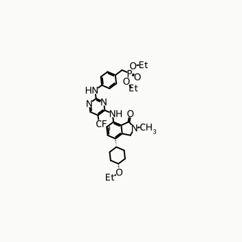 CCOP(=O)(Cc1ccc(Nc2ncc(C(F)(F)F)c(Nc3ccc([C@H]4CC[C@@H](OCC)CC4)c4c3C(=O)N(C)C4)n2)cc1)OCC